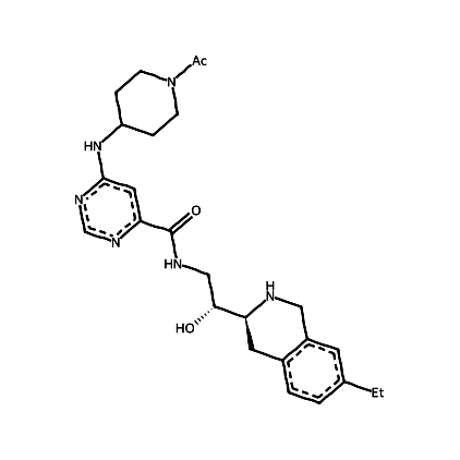 CCc1ccc2c(c1)CN[C@H]([C@H](O)CNC(=O)c1cc(NC3CCN(C(C)=O)CC3)ncn1)C2